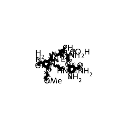 CCn1nc(C)cc1-c1ncc2c3cc(C(N)=O)cc(OCCCOC)c3n(C/C=C/CNc3c(N)cc(C(N)=O)cc3OCCCNC(=O)O)c2n1